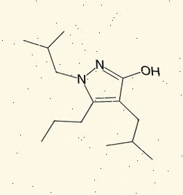 CCCc1c(CC(C)C)c(O)nn1CC(C)C